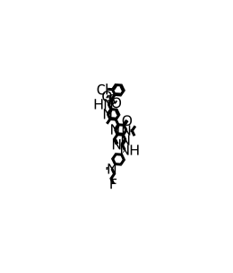 Cc1nc(NS(=O)(=O)c2ccccc2Cl)ccc1-c1nc2cnc(N[C@H]3CC[C@H](N(C)CCF)CC3)nc2n(C(C)C)c1=O